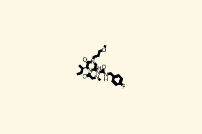 CCC(C)[C@H]1C(=O)N(CCCOC)C[C@H]2N1C(=O)CN(C)N2C(=O)NCc1ccc(F)cc1